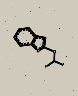 FC(F)Oc1cc2ccccc2o1